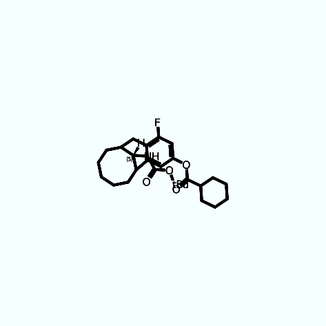 CC(C)(C)OC(=O)N[C@H]1C2CCCCCC1c1cc(OC(=O)C3CCCCC3)cc(F)c1C2